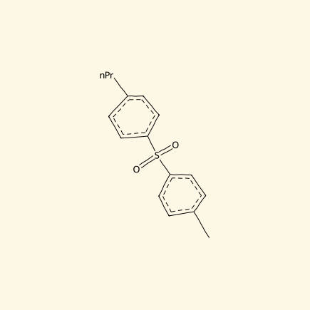 CCCc1ccc(S(=O)(=O)c2ccc(C)cc2)cc1